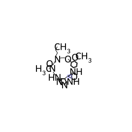 CCCCN1CCOc2cc(ccc2OC)N/C=C2\C(=O)Nc3ncnc(c32)NCCN(C)C(=O)C1